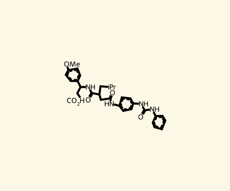 COc1ccc(C(CC(=O)O)NC(=O)C(CC(=O)Nc2ccc(NC(=O)Nc3ccccc3)cc2)CC(C)C)cc1